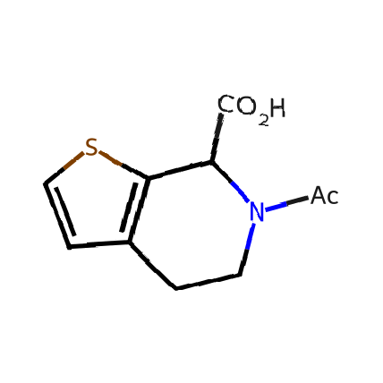 CC(=O)N1CCc2ccsc2C1C(=O)O